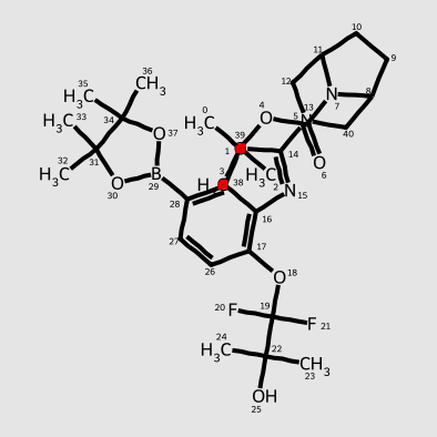 CC(C)(C)OC(=O)N1C2CCC1CN(c1nc3c(OC(F)(F)C(C)(C)O)ccc(B4OC(C)(C)C(C)(C)O4)c3o1)C2